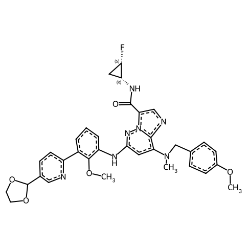 COc1ccc(CN(C)c2cc(Nc3cccc(-c4ccc(C5OCCO5)cn4)c3OC)nn3c(C(=O)N[C@@H]4C[C@@H]4F)cnc23)cc1